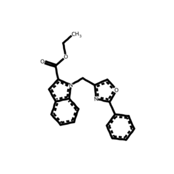 CCOC(=O)c1cc2ccccc2n1Cc1coc(-c2ccccc2)n1